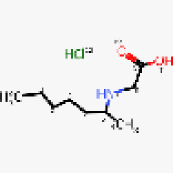 CCCCCC(C)NCC(=O)O.Cl